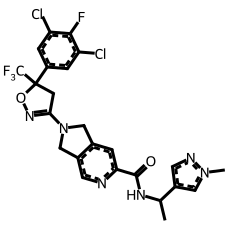 CC(NC(=O)c1cc2c(cn1)CN(C1=NOC(c3cc(Cl)c(F)c(Cl)c3)(C(F)(F)F)C1)C2)c1cnn(C)c1